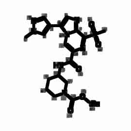 Cn1cc(-c2cnc3c(S(C)(=O)=O)nc(C(=O)NC4CCCN(C(=O)OC(C)(C)C)C4)cn23)cn1